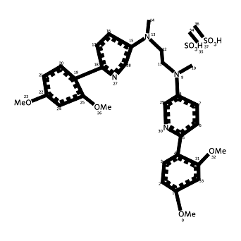 COc1ccc(-c2ccc(N(C)CCN(C)c3ccc(-c4ccc(OC)cc4OC)nc3)cn2)c(OC)c1.CS(=O)(=O)O.CS(=O)(=O)O